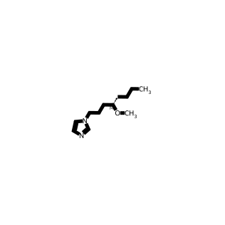 CCCC[C@@H](CCCn1ccnc1)OC